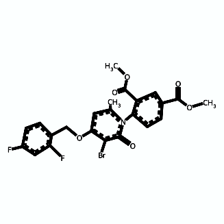 COC(=O)c1ccc(-n2c(C)cc(OCc3ccc(F)cc3F)c(Br)c2=O)c(C(=O)OC)c1